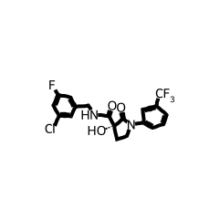 O=C(NCc1cc(F)cc(Cl)c1)[C@]1(O)CCN(c2cccc(C(F)(F)F)c2)C1=O